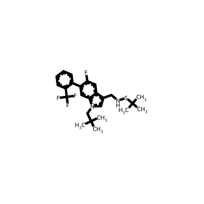 CC(C)(C)Cn1cc(CNSC(C)(C)C)c2cc(F)c(-c3ccccc3C(F)(F)F)cc21